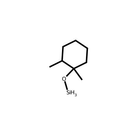 CC1CCCCC1(C)O[SiH3]